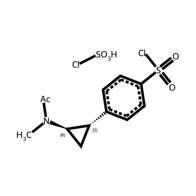 CC(=O)N(C)[C@@H]1C[C@H]1c1ccc(S(=O)(=O)Cl)cc1.O=S(=O)(O)Cl